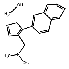 CN(C)CC1=C(c2ccc3ccccc3c2)CC=C1.CO